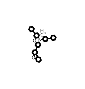 Cc1cc(-c2ccccc2)ccc1N1c2ccc(-c3ccccc3)cc2Oc2cc(-c3ccc4oc5ccccc5c4c3)ccc21